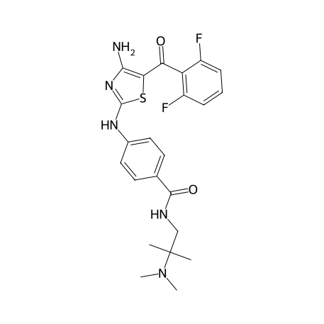 CN(C)C(C)(C)CNC(=O)c1ccc(Nc2nc(N)c(C(=O)c3c(F)cccc3F)s2)cc1